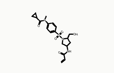 C=CC(=O)NC1CC(CO)N(S(=O)(=O)c2ccc(N(C)C(=O)C3CC3)cc2)C1